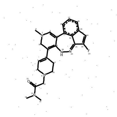 CN1C=C2C(=C(C3=CCN(CC(=O)N(C)C)CC3)C1)NN=C1C(F)=Cc3cccc2c31